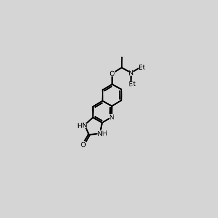 CCN(CC)C(C)Oc1ccc2nc3[nH]c(=O)[nH]c3cc2c1